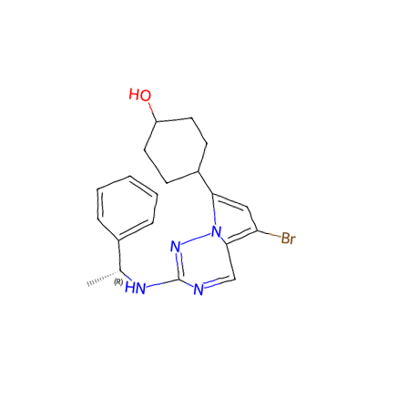 C[C@@H](Nc1ncc2c(Br)cc(C3CCC(O)CC3)n2n1)c1ccccc1